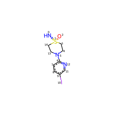 N=S1(=O)CCN(c2ccc(I)cn2)CC1